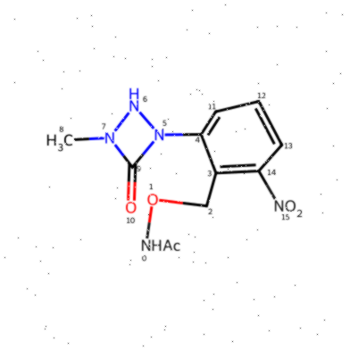 CC(=O)NOCc1c(-n2[nH]n(C)c2=O)cccc1[N+](=O)[O-]